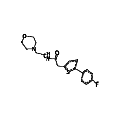 O=C(Cc1ccc(-c2ccc(F)cc2)s1)NCCN1CCOCC1